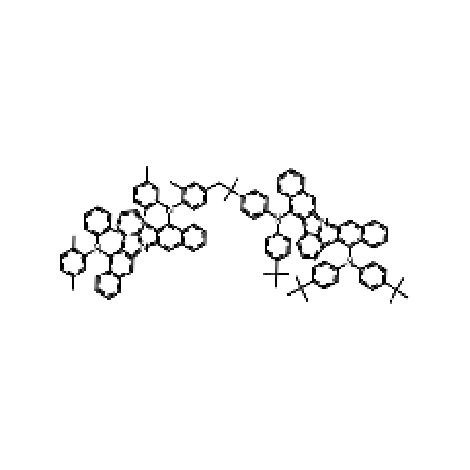 Cc1ccc(C)c(N(c2ccccc2C)c2c3ccccc3cc3c2c2cccc4c5c(N(c6ccc(CC(C)(C)c7ccc(N(c8ccc(C(C)(C)C)cc8)c8c9ccccc9cc9c8c8cccc%10c%11c(N(c%12ccc(C(C)(C)C)cc%12)c%12ccc(C(C)(C)C)cc%12)c%12ccccc%12cc%11n9c%108)cc7)cc6C)c6cc(C)ccc6C)c6ccccc6cc5n3c24)c1